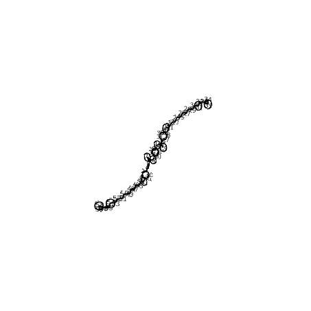 C#C/C=C(C#CC(=O)Oc1ccc(OC(=O)C2CCC(OCCCCCCCCCCOCC3CO3)CC2)cc1)\C=C/COCCCCCCCCCCOCC1CO1